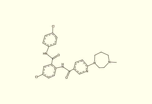 CN1CCCN(c2ccc(C(=O)Nc3ccc(Cl)cc3C(=O)Nc3ccc(Cl)cc3)cn2)CC1